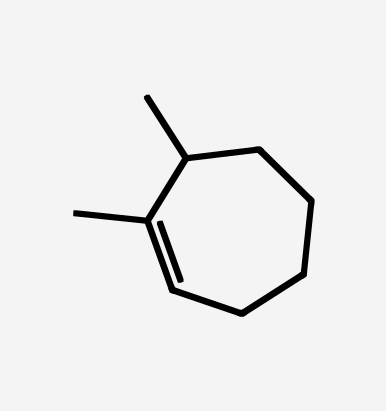 CC1=CCCCCC1C